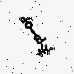 CC(CCN1Cc2cc(C#Cc3ccc(C4(N)COC4)cc3)cn2C1=O)(C(=O)NO)S(C)(=O)=O